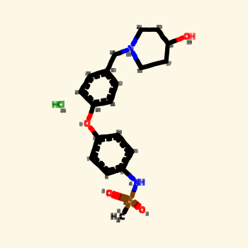 CS(=O)(=O)Nc1ccc(Oc2ccc(CN3CCC(O)CC3)cc2)cc1.Cl